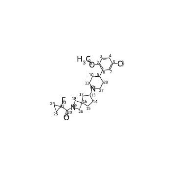 COc1ccc(Cl)cc1C1CCN(C2CCC3(C2)CN(C(=O)C2(F)CC2)C3)CC1